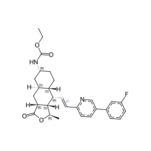 CCOC(=O)N[C@@H]1CC[C@H]2[C@H](C1)C[C@H]1C(=O)O[C@H](C)[C@H]1[C@H]2/C=C/c1ccc(-c2cccc(F)c2)cn1